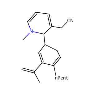 C=C(C)C1=CC(C2C(CC#N)=CC=CN2C)CC=C1CCCCC